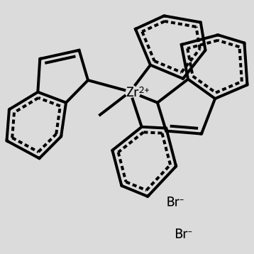 [Br-].[Br-].[CH3][Zr+2]([c]1ccccc1)([c]1ccccc1)([CH]1C=Cc2ccccc21)[CH]1C=Cc2ccccc21